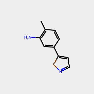 Cc1ccc(-c2ccns2)cc1N